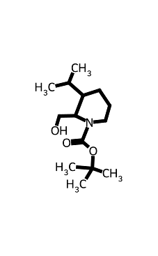 CC(C)C1CCCN(C(=O)OC(C)(C)C)C1CO